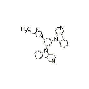 C=Cc1cn(-c2cc(-n3c4ccccc4c4cnccc43)cc(-n3c4ccccc4c4cnccc43)c2)cn1